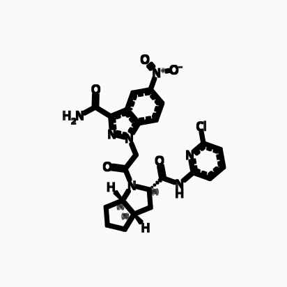 NC(=O)c1nn(CC(=O)N2[C@H](C(=O)Nc3cccc(Cl)n3)C[C@@H]3CCC[C@@H]32)c2ccc([N+](=O)[O-])cc12